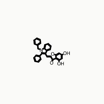 O=C1/C(=C/c2c(-c3ccccc3)n(Cc3ccccc3)c3ccccc23)Oc2cc(O)cc(O)c21